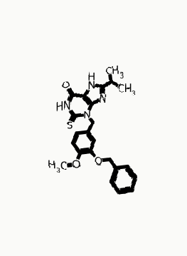 COc1ccc(Cn2c(=S)[nH]c(=O)c3[nH]c(C(C)C)nc32)cc1OCc1ccccc1